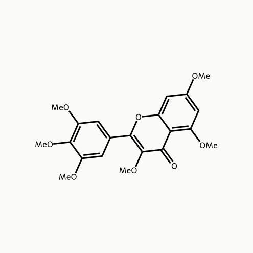 COc1cc(OC)c2c(=O)c(OC)c(-c3cc(OC)c(OC)c(OC)c3)oc2c1